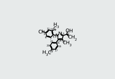 C=C(O)c1nn(-c2ccc(Cl)cc2C)c(-c2ccc(C)cc2)c1C